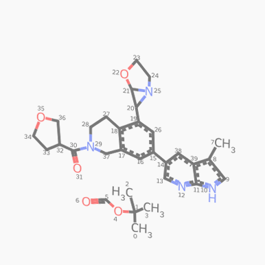 CC(C)(C)OC=O.Cc1c[nH]c2ncc(-c3cc4c(c(C5C6OCCN65)c3)CCN(C(=O)C3CCOC3)C4)cc12